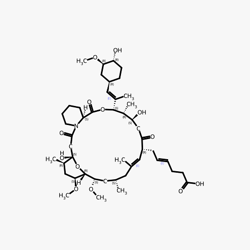 CO[C@H]1C[C@@H](C)C/C(C)=C/[C@@H](C/C=C/CCC(=O)O)C(=O)C[C@H](O)[C@@H](C)[C@@H](/C(C)=C/[C@@H]2CC[C@@H](O)[C@H](OC)C2)OC(=O)[C@@H]2CCCCN2C(=O)C[C@]2(O)O[C@H]1[C@@H](OC)C[C@H]2C